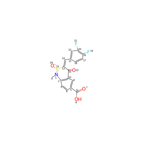 CN1c2ccc(C(=O)O)cc2C(=O)/C(=C\c2ccc(F)c(F)c2)[S+]1[O-]